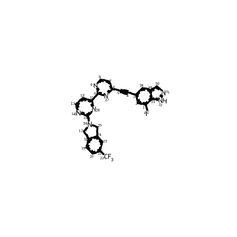 Fc1cc(C#Cc2ccnc(-c3ccnc(N4Cc5ccc(C(F)(F)F)cc5C4)n3)n2)cc2cn[nH]c12